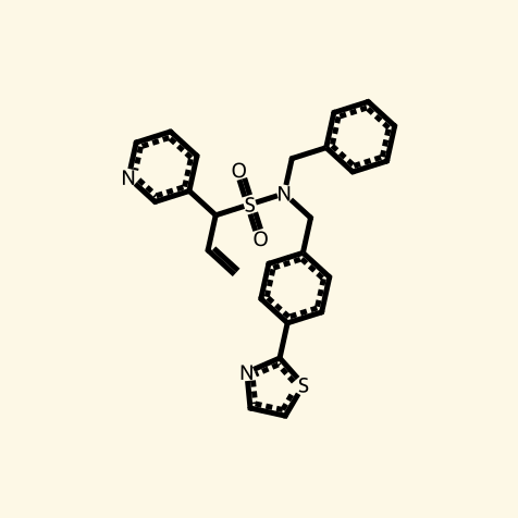 C=CC(c1cccnc1)S(=O)(=O)N(Cc1ccccc1)Cc1ccc(-c2nccs2)cc1